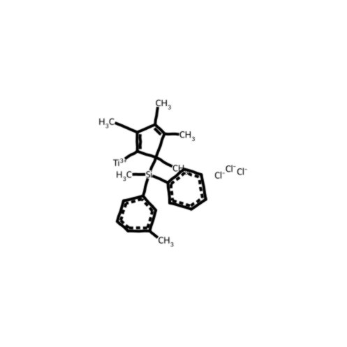 CC1=C(C)C(C)([Si](C)(c2ccccc2)c2cccc(C)c2)[C]([Ti+3])=C1C.[Cl-].[Cl-].[Cl-]